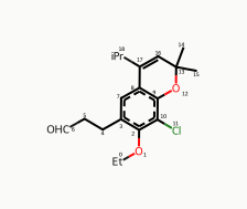 CCOc1c(CCC=O)cc2c(c1Cl)OC(C)(C)C=C2C(C)C